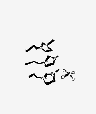 C=CC[n+]1ccn(C)c1.C=CC[n+]1ccn(C)c1.C=CC[n+]1ccn(C)c1.O=P([O-])([O-])[O-]